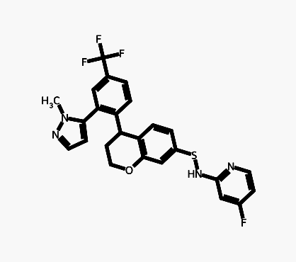 Cn1nccc1-c1cc(C(F)(F)F)ccc1C1CCOc2cc(SNc3cc(F)ccn3)ccc21